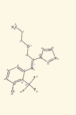 CCCOC/C(=N\c1cccc(Cl)c1C(F)(F)F)n1ccnc1